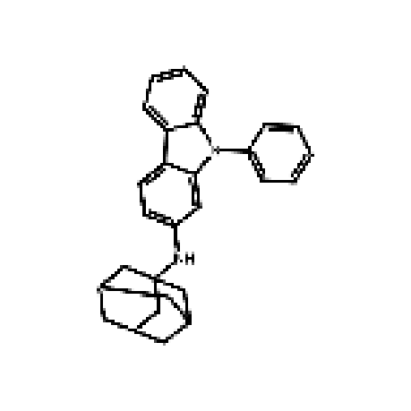 c1ccc(-n2c3ccccc3c3ccc(NC45CC6CC(CC(C6)C4)C5)cc32)cc1